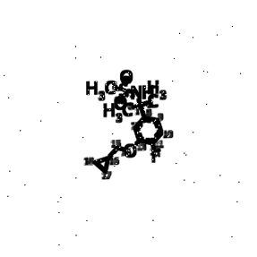 CC(C)(NS(C)(=O)=O)c1ccc(F)c(OCC2CC2)c1